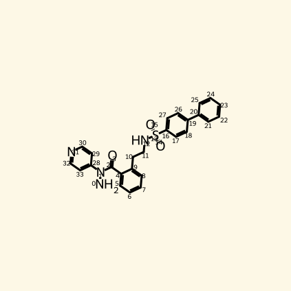 NN(C(=O)c1ccccc1CCNS(=O)(=O)c1ccc(-c2ccccc2)cc1)c1ccncc1